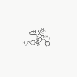 CN1CCN(S(=O)(=O)CC(Cc2ccccc2)C(=O)[C@](C)(N)C(=O)Nc2cscn2)CC1